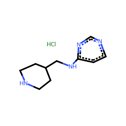 Cl.c1cc(NCC2CCNCC2)ncn1